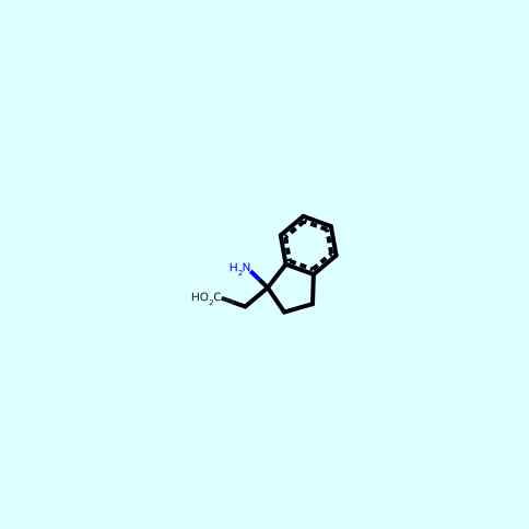 NC1(CC(=O)O)CCc2ccccc21